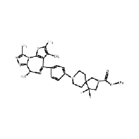 Cc1sc2c(c1C)C(c1ccc(N3CCC4(CC3)CN(C(=O)OC(C)(C)C)CC4(F)F)cc1)=N[C@@H](C)c1nnc(C)n1-2